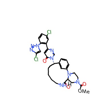 COC(=O)N1CCN2c3cccc(c3)[C@@H](n3cnc(-c4cc(Cl)ccc4-n4cc(Cl)nn4)cc3=O)CCCCCNC(=O)[C@@H]2C1